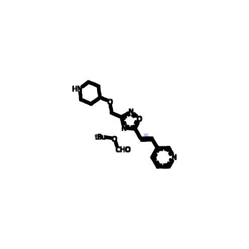 C(=C\c1nc(COC2CCNCC2)no1)/c1cccnc1.CC(C)(C)OC=O